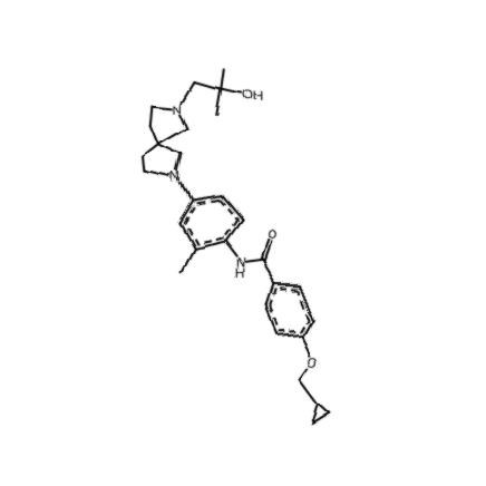 Cc1cc(N2CCC3(CCN(CC(C)(C)O)C3)C2)ccc1NC(=O)c1ccc(OCC2CC2)cc1